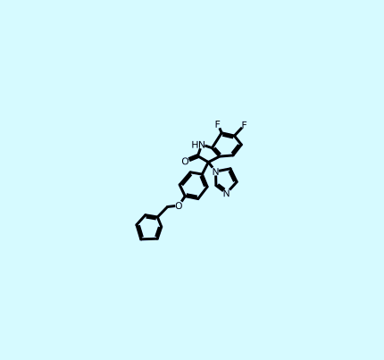 O=C1Nc2c(ccc(F)c2F)C1(c1ccc(OCc2ccccc2)cc1)n1ccnc1